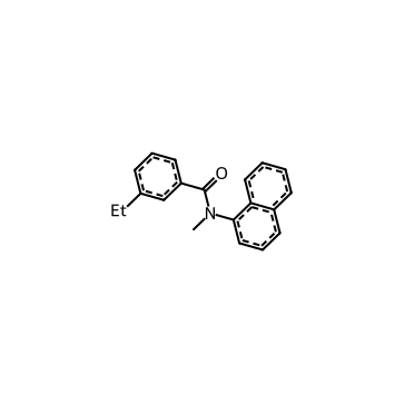 CCc1cccc(C(=O)N(C)c2cccc3ccccc23)c1